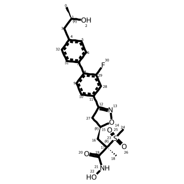 C[C@@H](O)Cc1ccc(-c2ccc(C3=NO[C@@H](C[C@](C)(C(=O)NO)S(C)(=O)=O)C3)cc2F)cc1